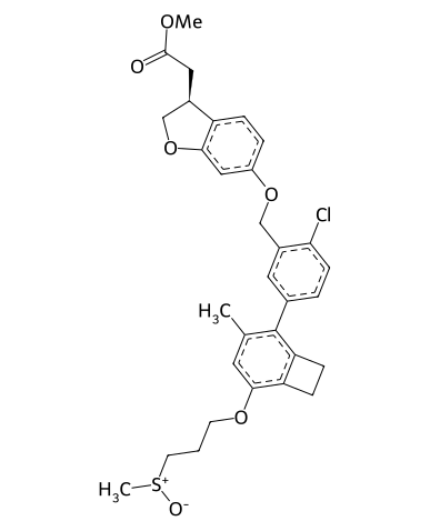 COC(=O)C[C@@H]1COc2cc(OCc3cc(-c4c(C)cc(OCCC[S+](C)[O-])c5c4CC5)ccc3Cl)ccc21